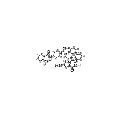 COc1ccccc1C(=O)NC1CCN(C(=O)[C@H]2CC[C@@](C(=O)N3C[C@H](O)C[C@H]3C(=O)O)(c3ccccc3)c3ccccc32)CC1